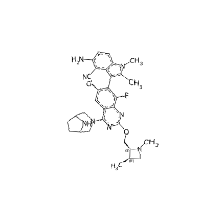 Cc1c(-c2c(Cl)cc3c(N4CC5CCC(C4)N5)nc(OC[C@@H]4[C@H](C)CN4C)nc3c2F)c2c(C#N)c(N)ccc2n1C